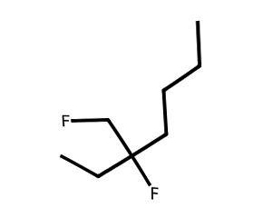 CCCCC(F)(CC)CF